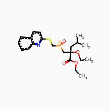 CCOC(=O)C(CC(C)C)(C[PH](=O)CSc1ccc2ccccc2n1)OCC